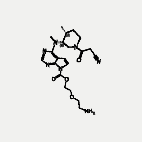 C[C@@H]1CCN(C(=O)CC#N)C[C@@H]1N(C)c1ncnc2c1ccn2C(=O)OCCOCCN